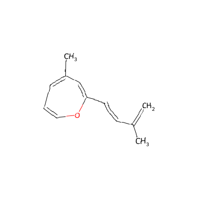 C=C(C)C=CC1=CC(C)=CC=CO1